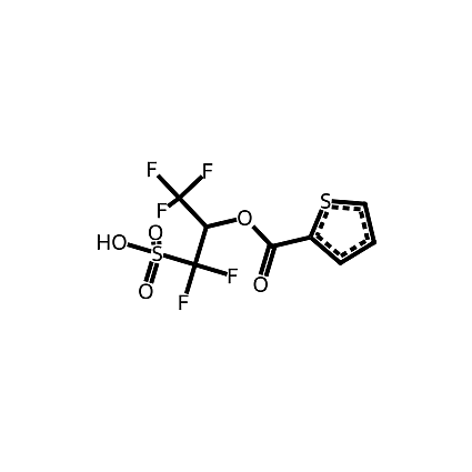 O=C(OC(C(F)(F)F)C(F)(F)S(=O)(=O)O)c1cccs1